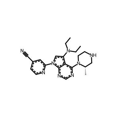 CCN(CC)c1cn(-c2cc(C#N)ccn2)c2ncnc(N3CCNC[C@@H]3C)c12